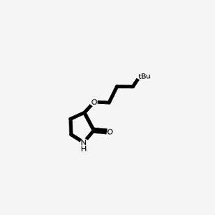 CC(C)(C)CCCOC1CCNC1=O